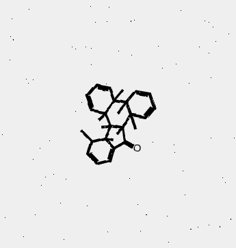 CC1C=CC=C2C(=O)C3(C)C4(C)C=CC=CC4(C)C4(C)C=CC=CC4(C)C3(C)C21C